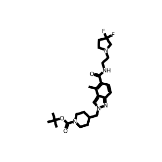 Cc1c(C(=O)NCCN2CCC(F)(F)C2)ccc2nn(CC3CCN(C(=O)OC(C)(C)C)CC3)cc12